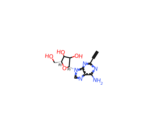 C#Cc1nc(N)c2ncn([C@@H]3O[C@H](CO)C(O)C3O)c2n1